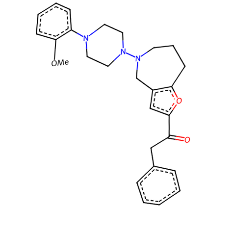 COc1ccccc1N1CCN(N2CCCc3oc(C(=O)Cc4ccccc4)cc3C2)CC1